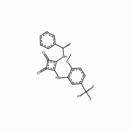 COc1ccc(C(F)(F)F)cc1Nc1c(NC(C)c2ccccc2)c(=O)c1=O